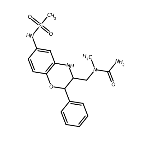 CN(CC1Nc2cc(NS(C)(=O)=O)ccc2OC1c1ccccc1)C(N)=O